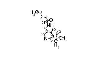 CCCCS(=O)(=O)NC[C@H](CN)C(=O)OC(C)(C)C